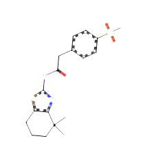 CCS(=O)(=O)c1ccc(CC(=O)Nc2nc3c(s2)CCCC3(C)C)cc1